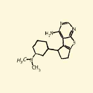 CN(C)[C@H]1CCCC(C2CCc3sc4ncnc(N)c4c32)C1